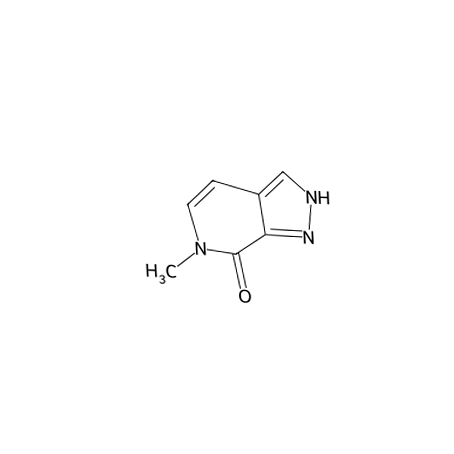 Cn1ccc2c[nH]nc2c1=O